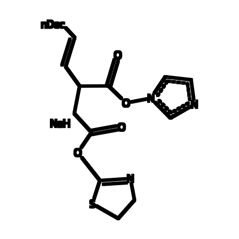 CCCCCCCCCCC=CC(CC(=O)OC1=NCCS1)C(=O)On1ccnc1.[NaH]